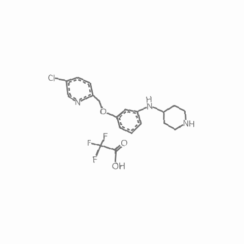 Clc1ccc(COc2cccc(NC3CCNCC3)c2)nc1.O=C(O)C(F)(F)F